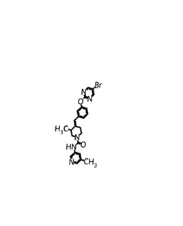 Cc1cncc(NC(=O)N2CC/C(=C\c3cccc(Oc4ncc(Br)cn4)c3)C(C)C2)c1